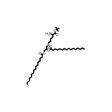 CCCCCCCCCCCCCCCC(=O)OCC(CNCCCCC(N)C(=O)OC(C)(C)C)OC(=O)CCCCCCCCCCCCCCC